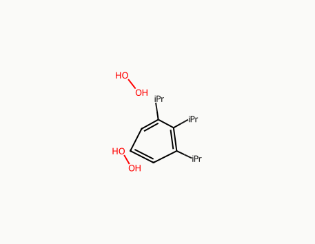 CC(C)c1cccc(C(C)C)c1C(C)C.OO.OO